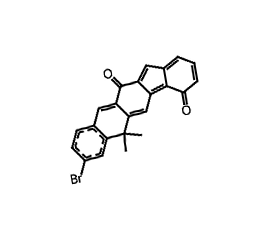 CC1(C)C2=CC3=C4C(=O)C=CC=C4C=C3C(=O)C2=Cc2ccc(Br)cc21